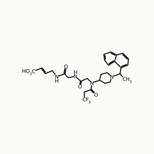 CC(c1cccc2ccccc12)N1CCC(N(CC(=O)NCC(=O)NC/C=C/C(=O)O)C(=O)CC(F)(F)F)CC1